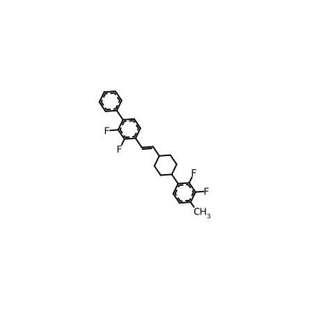 Cc1ccc(C2CCC(/C=C/c3ccc(-c4ccccc4)c(F)c3F)CC2)c(F)c1F